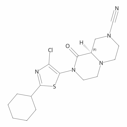 N#CN1CCN2CCN(c3sc(C4CCCCC4)nc3Cl)C(=O)[C@H]2C1